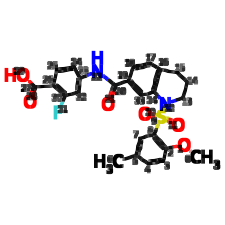 COc1ccc(C)cc1S(=O)(=O)N1CCCc2ccc(C(=O)Nc3ccc(C(=O)O)c(F)c3)cc21